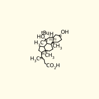 C[C@H](CCC(=O)O)[C@H]1CCC2C3C(CC[C@@]21C)[C@@]1(C)CC[C@@H](O)C[C@H]1[C@@H](C(C)(C)C)[C@@]3(C)O